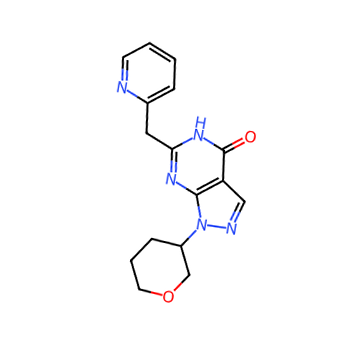 O=c1[nH]c(Cc2ccccn2)nc2c1cnn2C1CCCOC1